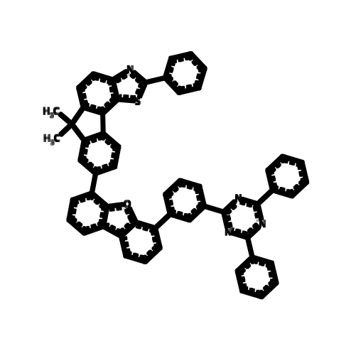 CC1(C)c2cc(-c3cccc4c3oc3c(-c5cccc(-c6nc(-c7ccccc7)nc(-c7ccccc7)n6)c5)cccc34)ccc2-c2c1ccc1nc(-c3ccccc3)sc21